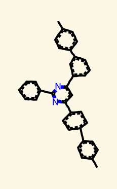 Cc1ccc(-c2ccc(-c3cc(-c4cccc(-c5ccc(C)cc5)c4)nc(-c4ccccc4)n3)cc2)cc1